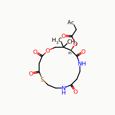 CC(=O)CC(=O)O[C@H]1C(=O)NCCC(=O)NCCSC(=O)CC(=O)OCC1(C)C